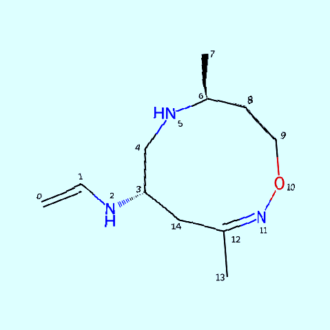 C=CN[C@@H]1CN[C@@H](C)CCO/N=C(/C)C1